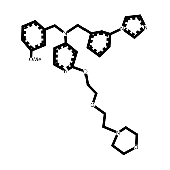 COc1cccc(CN(Cc2cccc(-n3ccnc3)c2)c2ccnc(OCCOCCN3CCOCC3)c2)c1